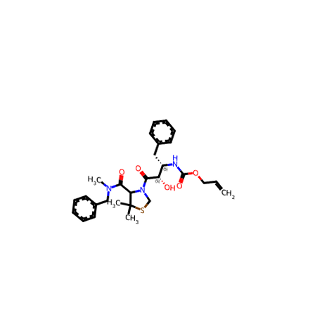 C=CCOC(=O)N[C@@H](Cc1ccccc1)[C@H](O)C(=O)N1CSC(C)(C)C1C(=O)N(C)Cc1ccccc1